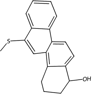 CSc1cc2c3c(ccc2c2ccccc12)C(O)CCC3